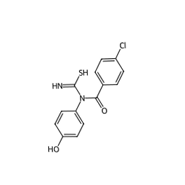 N=C(S)N(C(=O)c1ccc(Cl)cc1)c1ccc(O)cc1